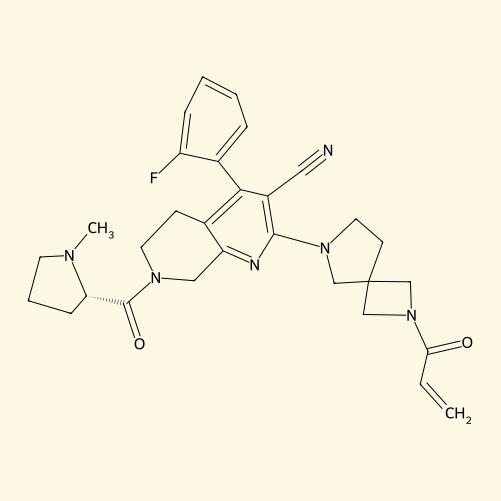 C=CC(=O)N1CC2(CCN(c3nc4c(c(-c5ccccc5F)c3C#N)CCN(C(=O)[C@@H]3CCCN3C)C4)C2)C1